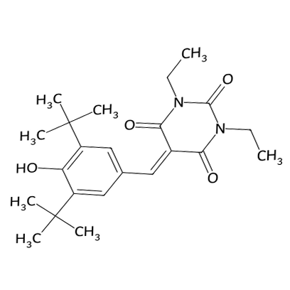 CCN1C(=O)C(=Cc2cc(C(C)(C)C)c(O)c(C(C)(C)C)c2)C(=O)N(CC)C1=O